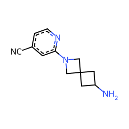 N#Cc1ccnc(N2CC3(CC(N)C3)C2)c1